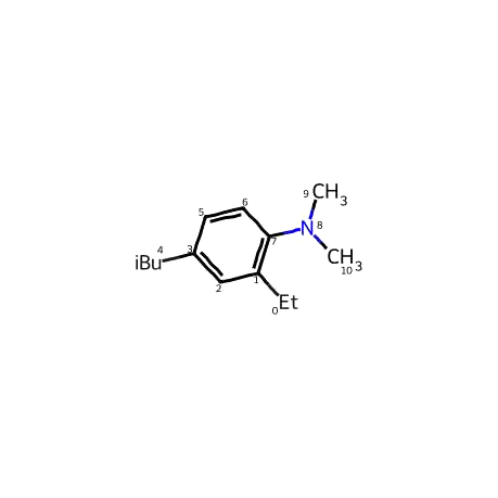 [CH2]Cc1cc(C(C)CC)ccc1N(C)C